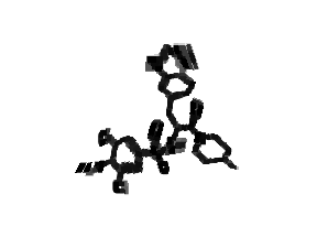 CC1CCN(C(=O)C(Cc2ccc3[nH]cnc3c2)NS(=O)(=O)c2cc(Cl)c(N)c(Cl)c2)CC1